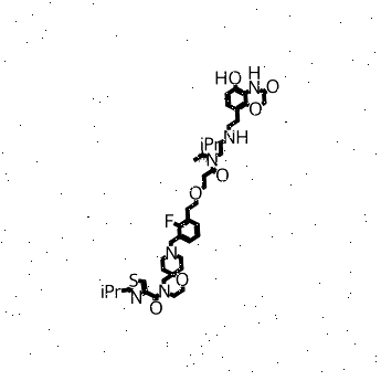 CC(C)c1nc(C(=O)N2CCOC3(CCN(Cc4cccc(CCOCCC(=O)N(CCNCCc5ccc(O)c6c5OCC(=O)N6)[C@H](C)C(C)C)c4F)CC3)C2)cs1